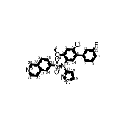 COc1cc(Cl)c(-c2cccc(F)c2)cc1N(c1ccon1)S(=O)(=O)c1ccc2cnccc2c1